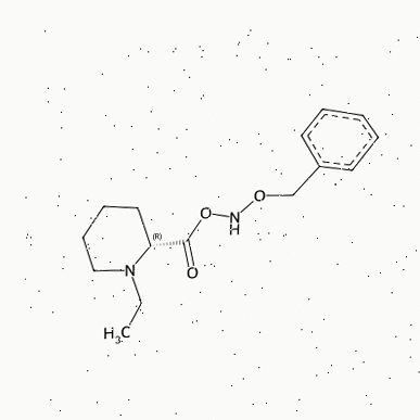 CCN1CCCC[C@@H]1C(=O)ONOCc1ccccc1